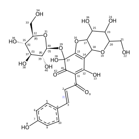 O=C(/C=C/c1ccc(O)cc1)C1=C(O)C2=C(OC3C2OC(CO)C(O)C3O)C(O)(O[C@@H]2O[C@H](CO)[C@@H](O)[C@H](O)[C@H]2O)C1=O